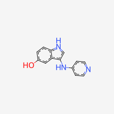 Oc1ccc2[nH]cc(Nc3ccncc3)c2c1